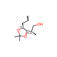 C=CC[C@@H]1OC(C)(C)O[C@@H]1[C@H](C)CO